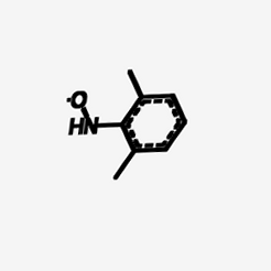 Cc1cccc(C)c1N[O]